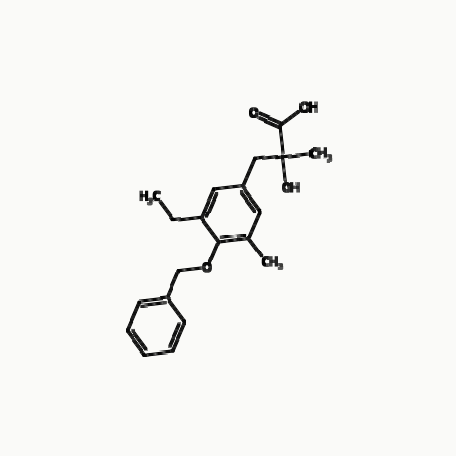 CCc1cc(CC(C)(O)C(=O)O)cc(C)c1OCc1ccccc1